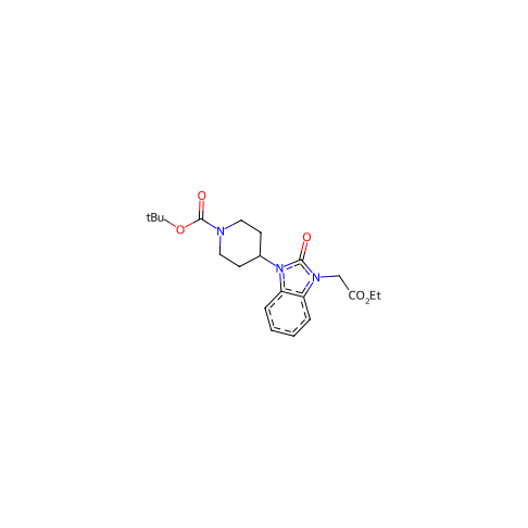 CCOC(=O)Cn1c(=O)n(C2CCN(C(=O)OC(C)(C)C)CC2)c2ccccc21